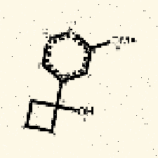 COc1cc(C2(O)CCC2)cnn1